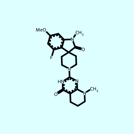 COc1cc(F)c2c(c1)N(C)C(=O)C21CCN(c2nc3c(c(=O)[nH]2)CCCN3C)CC1